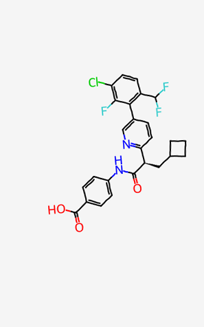 O=C(O)c1ccc(NC(=O)[C@H](CC2CCC2)c2ccc(-c3c(C(F)F)ccc(Cl)c3F)cn2)cc1